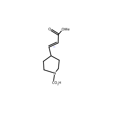 COC(=O)/C=C/C1CCN(C(=O)O)CC1